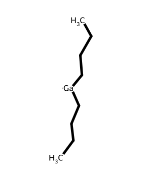 CCC[CH2][Ga][CH2]CCC